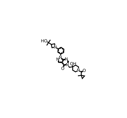 CC1(C(=O)N2CCC(O)(Cn3cnc4c(cnn4-c4cccc(N5CC(C(C)(C)O)C5)c4)c3=O)CC2)CC1